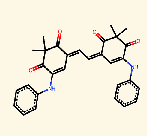 CC1(C)C(=O)C(=CC=C2C=C(Nc3ccccc3)C(=O)C(C)(C)C2=O)C=C(Nc2ccccc2)C1=O